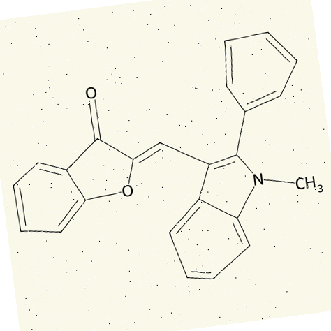 Cn1c(-c2ccccc2)c(/C=C2\Oc3ccccc3C2=O)c2ccccc21